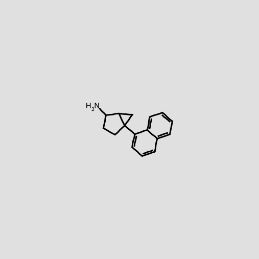 NC1CCC2(c3cccc4ccccc34)CC12